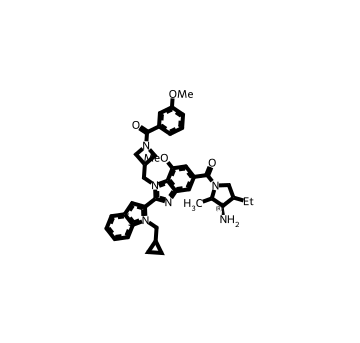 CCC1CN(C(=O)c2cc(OC)c3c(c2)nc(-c2cc4ccccc4n2CC2CC2)n3CC2CN(C(=O)c3cccc(OC)c3)C2)C(C)[C@@H]1N